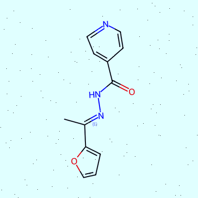 C/C(=N\NC(=O)c1ccncc1)c1ccco1